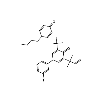 C=CC(C)(C)C1=CC(c2cccc(F)c2)C=C(C(C)(C)C)C1=O.CCCCC1C=CC(=O)C=C1